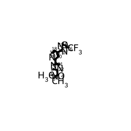 CN(C)C(=O)c1cnc(-c2cc(-c3noc(C(F)(F)F)n3)ccn2)cn1